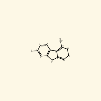 Cc1ccc2c3c(oc2c1)=CCCC=3Br